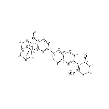 COc1ccc(-c2ccc3cc(C4=C(O)CCCC4=O)ccc3c2)cc1C12CC3CC(CC(C3)C1)C2